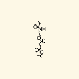 C=CC(=O)NCCOC(=O)CCC(=O)OC(C)C